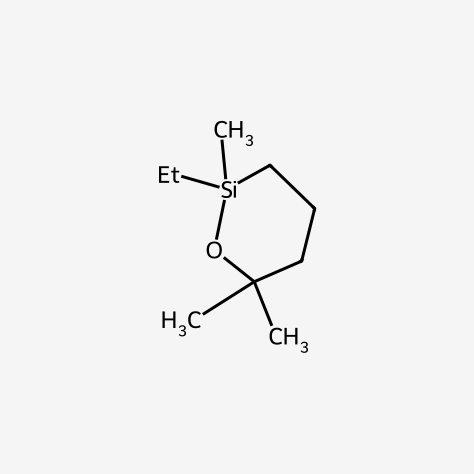 CC[Si]1(C)CCCC(C)(C)O1